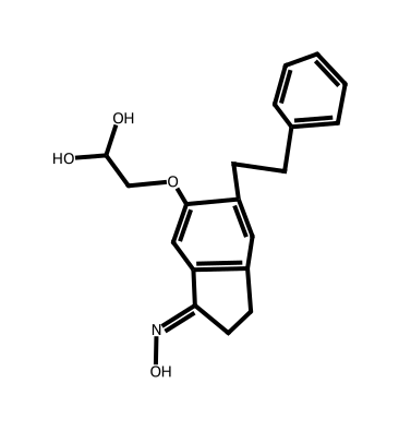 O/N=C1\CCc2cc(CCc3ccccc3)c(OCC(O)O)cc21